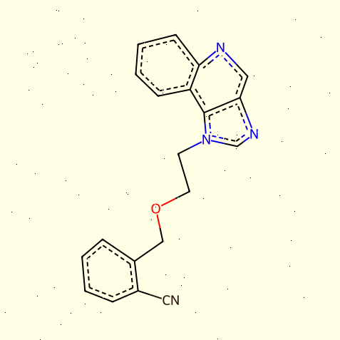 N#Cc1ccccc1COCCn1cnc2cnc3ccccc3c21